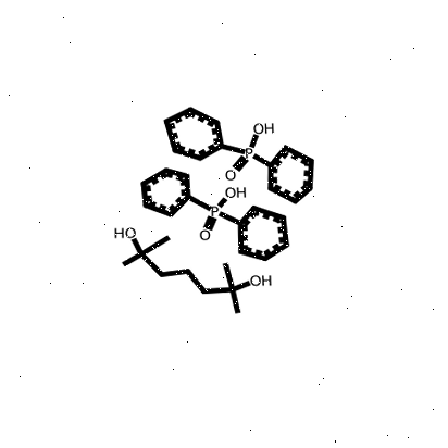 CC(C)(O)CCCC(C)(C)O.O=P(O)(c1ccccc1)c1ccccc1.O=P(O)(c1ccccc1)c1ccccc1